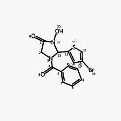 O=C1CN(C(=O)c2ccccc2)C(c2cc(Br)cs2)N1O